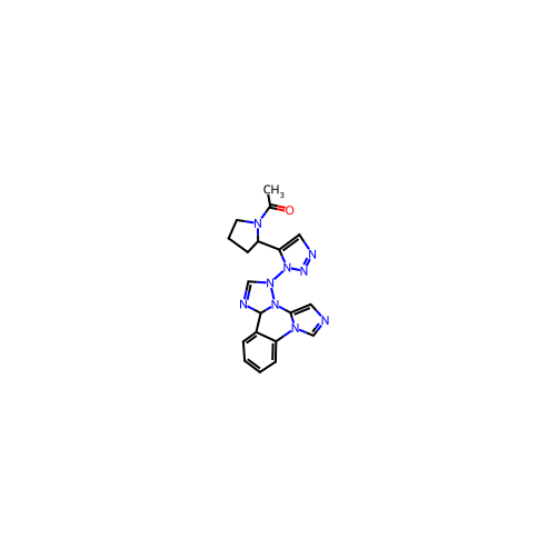 CC(=O)N1CCCC1c1cnnn1N1C=NC2c3ccccc3-n3cncc3N21